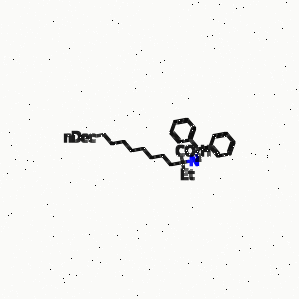 CCCCCCCCCCCCCCCCCCC(CC)(N=C(c1ccccc1)c1ccccc1)C(=O)O